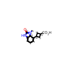 Cn1c(=O)[nH]c2cccc(C3CC(C(=O)O)C3)c21